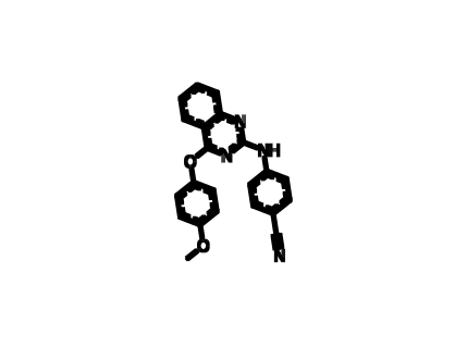 COc1ccc(Oc2nc(Nc3ccc(C#N)cc3)nc3ccccc23)cc1